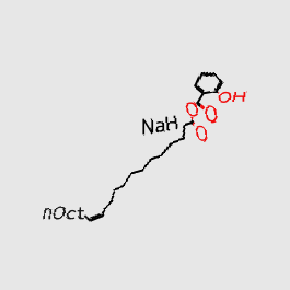 CCCCCCCC/C=C\CCCCCCCCCCCC(=O)OC(=O)c1ccccc1O.[NaH]